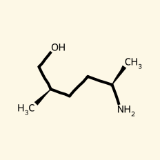 C[C@@H](CO)CC[C@@H](C)N